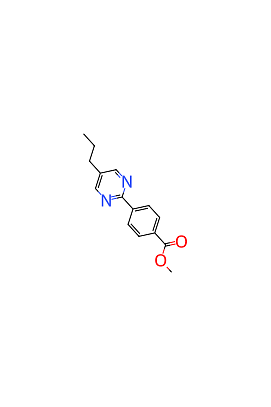 CCCc1cnc(-c2ccc(C(=O)OC)cc2)nc1